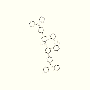 B1c2ccccc2-c2cc(-c3ccc(N(c4ccccc4)c4ccccc4)cc3)ccc2Nc2ccc(-c3ccc(N(c4ccccc4)c4ccccc4)cc3)cc2-c2ccccc21